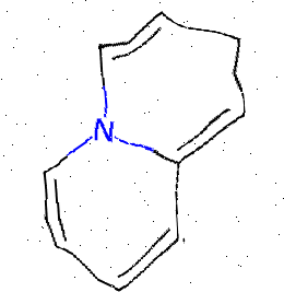 [C]1=CC=CN2C=CCC=C12